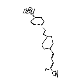 CCCC[C@H]1CC[C@H](CCC2CCC(C=CC=C(F)C#N)CC2)CC1